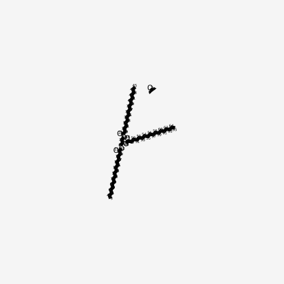 C1CO1.CCCCCCCCCCCCCCCCCC(=O)OCC(COC(=O)CCCCCCCCCCCCCCCCC)OC(=O)CCCCCCCCCCCCCCCCC